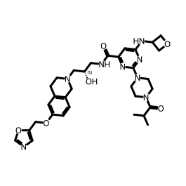 CC(C)C(=O)N1CCN(c2nc(NC3COC3)cc(C(=O)NC[C@H](O)CN3CCc4cc(OCc5cnco5)ccc4C3)n2)CC1